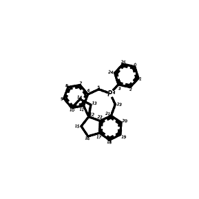 c1ccc(P2Cc3cccc4c3C3(CC4)CCc4cccc(c43)C2)cc1